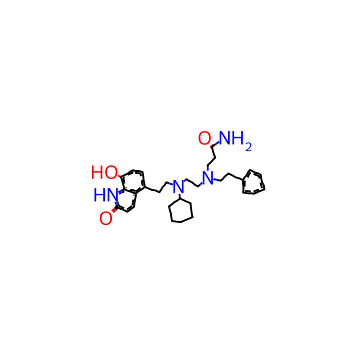 NC(=O)CCN(CCc1ccccc1)CCN(CCc1ccc(O)c2[nH]c(=O)ccc12)C1CCCCC1